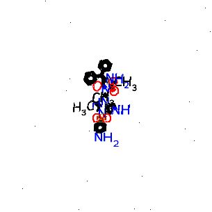 COC(=O)N(CCN[C@@H]1CNC[C@H]1N(CCC(C)C)S(=O)(=O)c1ccc(N)cc1)C(=O)[C@@H](N)C(c1ccccc1)c1ccccc1